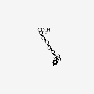 Cc1ccc(S(=O)(=O)OCCOCCOCCOCCOCCOCC(=O)O)cc1